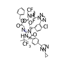 CC(C)(C[C@]1(c2ccc(-c3cnn(C4CC4)n3)cc2)N/C(=N/CC(=O)OCc2ccccc2)N([C@H](COC(=O)NCC(F)(F)F)c2ccc(Cl)c(-c3ncnn3C(F)F)c2)C1=O)C(F)(F)F